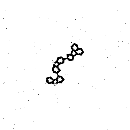 c1cc2c3c(cccc3c1)-c1cc(-c3ccc4sc5ccc(-c6cccc7oc8ccccc8c67)cc5c4c3)ccc1-2